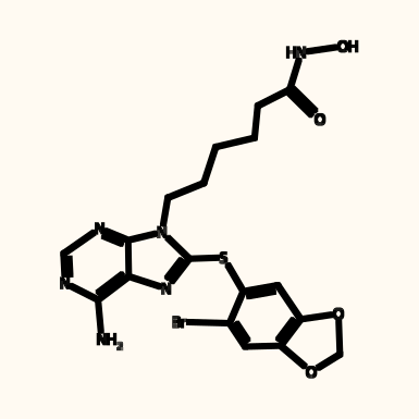 Nc1ncnc2c1nc(Sc1cc3c(cc1Br)OCO3)n2CCCCCC(=O)NO